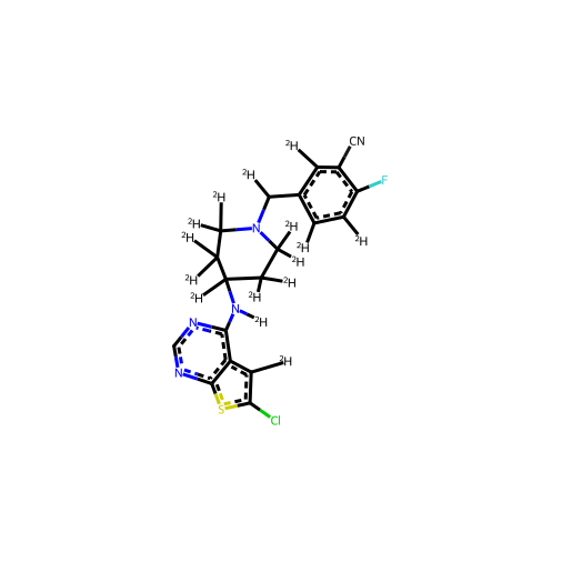 [2H]c1c([2H])c(C([2H])N2C([2H])([2H])C([2H])([2H])C([2H])(N([2H])c3ncnc4sc(Cl)c([2H])c34)C([2H])([2H])C2([2H])[2H])c([2H])c(C#N)c1F